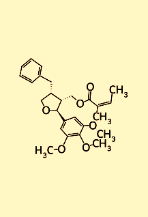 C/C=C(/C)C(=O)OC[C@H]1[C@@H](Cc2ccccc2)CO[C@@H]1c1cc(OC)c(OC)c(OC)c1